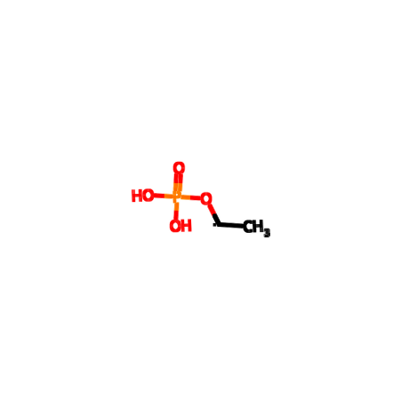 C[CH]OP(=O)(O)O